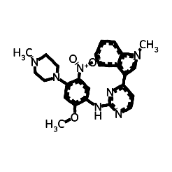 COc1cc(N2CCN(C)CC2)c([N+](=O)[O-])cc1Nc1nccc(-c2cn(C)c3ccccc23)n1